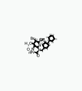 CCCC(=O)N(Cc1ccc(-c2ccccc2)c(C#N)c1)c1nc(C)c(Br)c(C)c1[N+](=O)[O-]